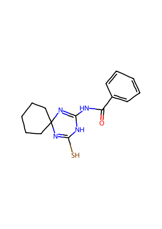 O=C(NC1=NC2(CCCCC2)N=C(S)N1)c1ccccc1